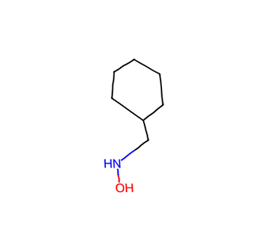 ONCC1CCCCC1